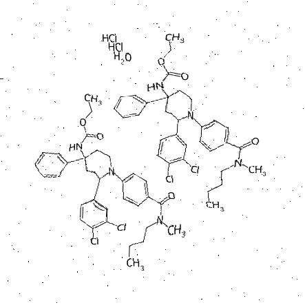 CCCCN(C)C(=O)c1ccc(N2CCC(NC(=O)OCC)(c3ccccc3)CC2c2ccc(Cl)c(Cl)c2)cc1.CCCCN(C)C(=O)c1ccc(N2CCC(NC(=O)OCC)(c3ccccc3)CC2c2ccc(Cl)c(Cl)c2)cc1.Cl.Cl.O